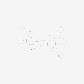 CC(C)(C)c1ccc2c(c1)B1c3ccccc3Oc3ccc4c5cc6c(cc5n-2c4c31)c1ccc2c3c1n6-c1ccc(C(C)(C)C)cc1B3c1ccccc1N2c1ccccc1